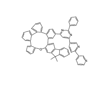 CC1(C)c2ccccc2-c2cc3c(cc21)Oc1ccccc1-c1ccccc1-c1ccccc1-c1ccc(-c2cc(-c4ccc(-c5cccnc5)nc4)nc(-c4ccccc4)n2)cc1-3